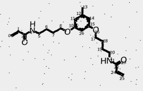 C=CC(=O)NCCCCOc1cc(C)cc(OCCCCNC(=O)C=C)c1